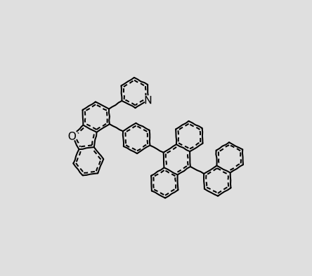 c1cncc(-c2ccc3oc4ccccc4c3c2-c2ccc(-c3c4ccccc4c(-c4cccc5ccccc45)c4ccccc34)cc2)c1